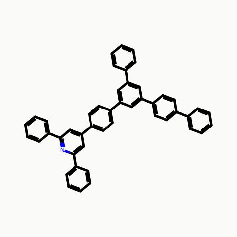 c1ccc(-c2ccc(-c3cc(-c4ccccc4)cc(-c4ccc(-c5cc(-c6ccccc6)nc(-c6ccccc6)c5)cc4)c3)cc2)cc1